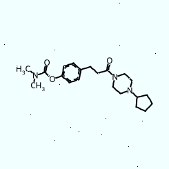 CN(C)C(=O)Oc1ccc(CCC(=O)N2CCN(C3CCCC3)CC2)cc1